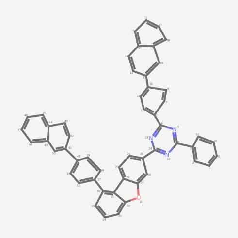 c1ccc(-c2nc(-c3ccc(-c4ccc5ccccc5c4)cc3)nc(-c3ccc4c(c3)oc3cccc(-c5ccc(-c6ccc7ccccc7c6)cc5)c34)n2)cc1